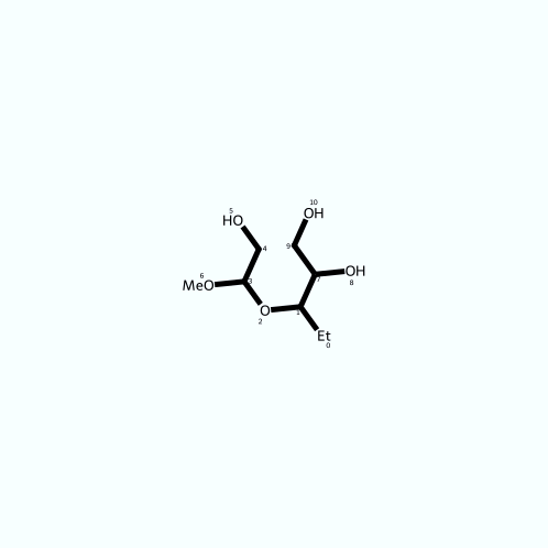 CCC(OC(CO)OC)C(O)CO